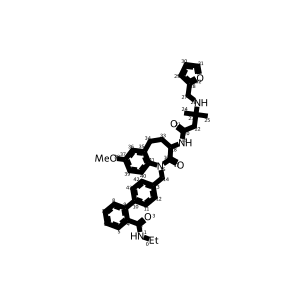 CCNC(=O)c1ccccc1-c1ccc(CN2C(=O)C(NC(=O)CC(C)(C)NCc3ccco3)CCc3cc(OC)ccc32)cc1